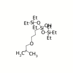 C=C(C)COCCC[Si](O)(O[Si](CC)(CC)CC)O[Si](CC)(CC)CC